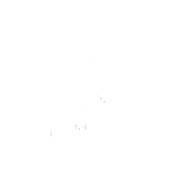 [CH2]CCCNC(=O)NC1CCCC1